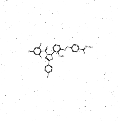 COc1c(OCc2ccc(/C(C)=N/O)cc2)cccc1C1SC(c2ccc(F)cc2)=NN1C(=O)c1c(F)cc(F)cc1F